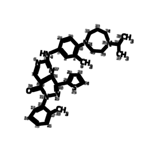 Cc1cc(Nc2ncc3c(=O)n(-c4ccccc4C)nc(-c4cccs4)c3n2)ccc1N1CCCN(C(C)C)CC1